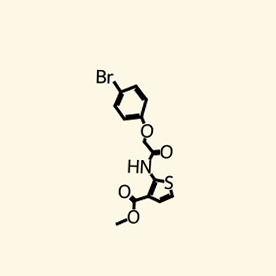 COC(=O)c1ccsc1NC(=O)COc1ccc(Br)cc1